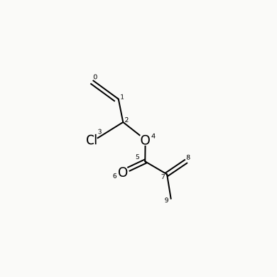 C=CC(Cl)OC(=O)C(=C)C